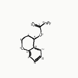 CCCC(=O)OC1CCOc2ccccc21